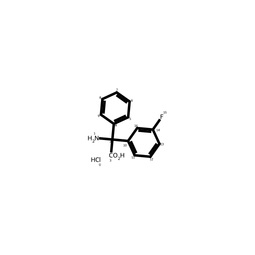 Cl.NC(C(=O)O)(c1ccccc1)c1cccc(F)c1